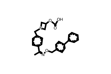 CC(=NOCc1ccc(-c2ccccc2)cc1)c1ccc(CN2CC(OC(=O)O)C2)cc1